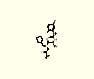 CC(C)[C@H](NC(=O)Nc1cc(Cl)ccc1Cl)C(=O)N(CC(=O)NO)CC1CCCC1